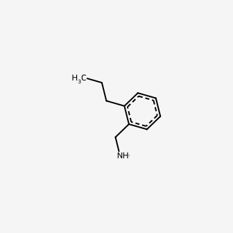 CCCc1ccccc1C[NH]